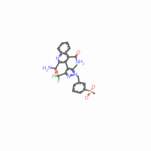 Cc1c(-c2c(C(N)=O)nc3ccccc3c2C(N)=O)c(C(F)(F)F)nn1Cc1cccc(S(C)(=O)=O)c1